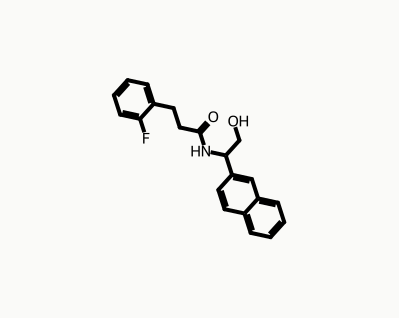 O=C(CCc1ccccc1F)NC(CO)c1ccc2ccccc2c1